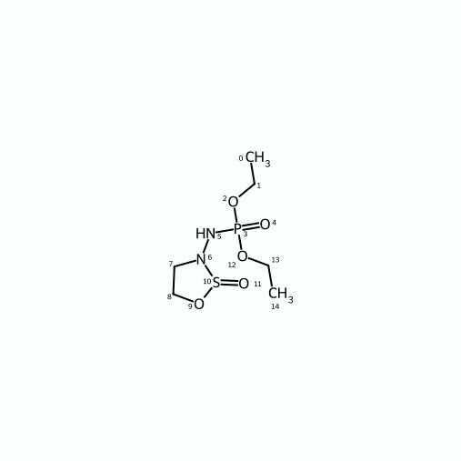 CCOP(=O)(NN1CCOS1=O)OCC